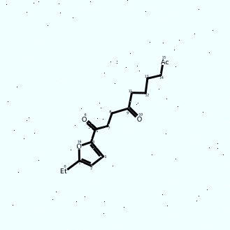 CCc1ccc(C(=O)CCC(=O)CCCCC(C)=O)o1